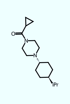 CC(C)[C@H]1CC[C@H](N2CCN(C(=O)C3CC3)CC2)CC1